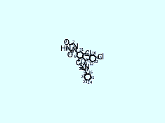 O=c1cnn(-c2cc(Cl)c(C(c3ccc(Cl)cc3)c3nc(-c4ccccc4)cs3)c(Cl)c2)c(=O)[nH]1